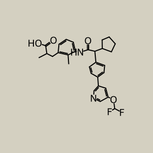 Cc1c(CC(C)C(=O)O)cccc1NC(=O)C(c1ccc(-c2cncc(OC(F)F)c2)cc1)C1CCCC1